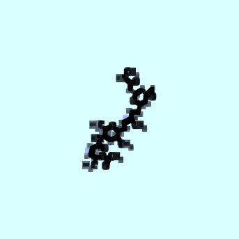 CNC(=O)C[C@@H]1C[C@@]2(CO2)C[C@@H](/C=C/C(C)=C/C[C@@H]2O[C@H](C)[C@H](NC(=O)/C=C\[C@H](C)OC(C)=O)C[C@@H]2C)O1